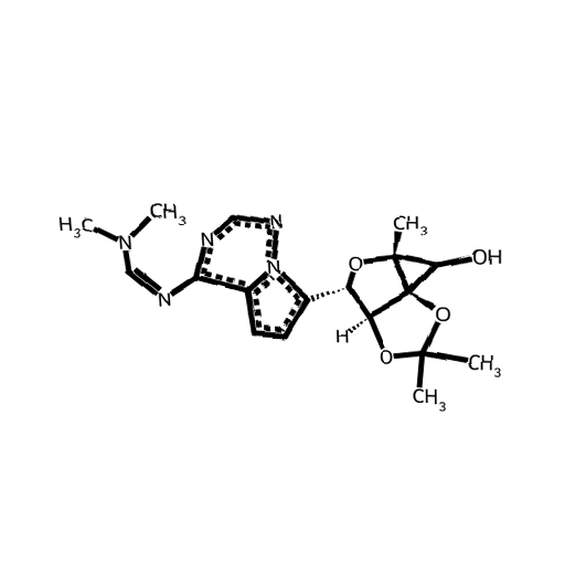 CN(C)/C=N\c1ncnn2c([C@@H]3O[C@]4(C)C(O)[C@@]45OC(C)(C)O[C@@H]35)ccc12